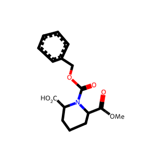 COC(=O)C1CCCC(C(=O)O)N1C(=O)OCc1ccccc1